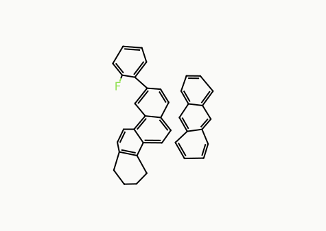 Fc1ccccc1-c1ccc2ccc3c4c(ccc3c2c1)CCCC4.c1ccc2cc3ccccc3cc2c1